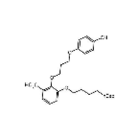 CCCCCCCCCCCCCCOc1cccc(C(=O)O)c1OCCCOc1ccc(O)cc1